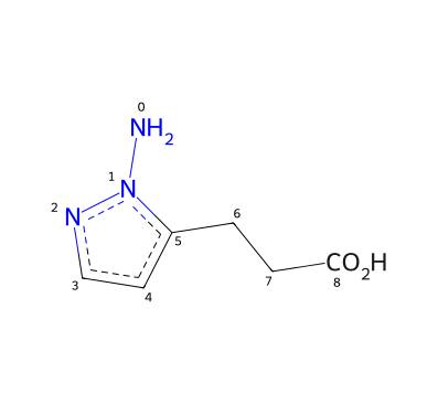 Nn1nccc1CCC(=O)O